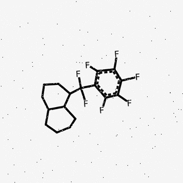 Fc1c(F)c(F)c(C(F)(F)C2CCCC3CCCCC32)c(F)c1F